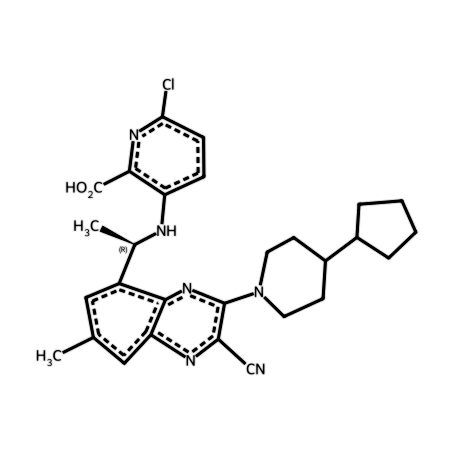 Cc1cc([C@@H](C)Nc2ccc(Cl)nc2C(=O)O)c2nc(N3CCC(C4CCCC4)CC3)c(C#N)nc2c1